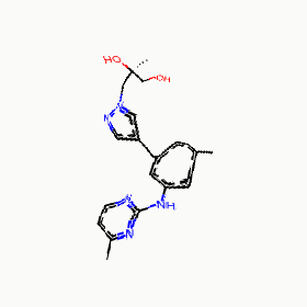 Cc1cc(Nc2nccc(C)n2)cc(-c2cnn(C[C@@](C)(O)CO)c2)c1